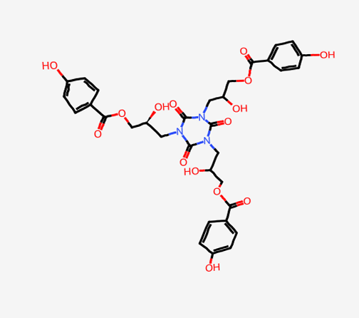 O=C(OCC(O)Cn1c(=O)n(CC(O)COC(=O)c2ccc(O)cc2)c(=O)n(C[C@H](O)COC(=O)c2ccc(O)cc2)c1=O)c1ccc(O)cc1